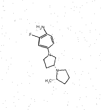 C[C@H]1CCCN1[C@@H]1CCN(c2ccc(N)c(F)c2)C1